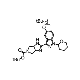 CC(C)(C)OC(=O)N1CC2N=C(c3nn(C4CCCCO4)c4ccc(O[Si](C)(C)C(C)(C)C)cc34)NC2C1